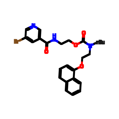 CCCCN(CCOc1cccc2ccccc12)C(=O)OCCNC(=O)c1cncc(Br)c1